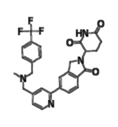 CN(Cc1ccc(C(F)(F)F)cc1)Cc1ccnc(-c2ccc3c(c2)CN(C2CCC(=O)NC2=O)C3=O)c1